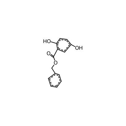 O=C(OCc1ccccc1)c1cc(O)ccc1O